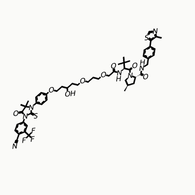 Cc1ncsc1-c1ccc(CNC(=O)[C@@H]2C[C@@H](C)CN2C(=O)[C@@H](NC(=O)COCCCOCCC(O)CCOc2ccc(N3C(=S)N(c4ccc(C#N)c(C(F)(F)F)c4)C(=O)C3(C)C)cc2)C(C)(C)C)cc1